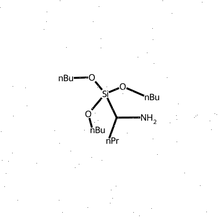 CCCCO[Si](OCCCC)(OCCCC)C(N)CCC